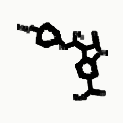 COC(=O)c1ccc2c(c1)NC(=O)C2=C(C)Nc1ccc(C(=O)O)cc1